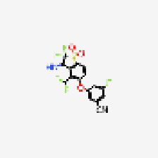 N#Cc1cc(F)cc(Oc2ccc3c(c2C(F)F)C(=N)C(F)(F)S3(=O)=O)c1